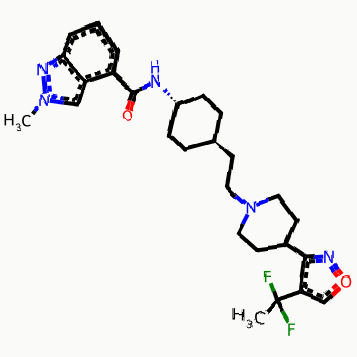 Cn1cc2c(C(=O)N[C@H]3CC[C@H](CCN4CCC(c5nocc5C(C)(F)F)CC4)CC3)cccc2n1